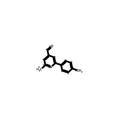 Cc1ccc(-c2cc(C=O)cc(C)n2)cc1